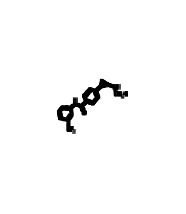 O=C(O)NC1CC1c1ccc(C(=O)Nc2cccc(C(F)(F)F)c2)cc1